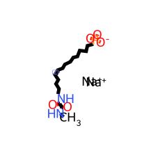 CNC(=O)C(=O)NCCCC/C=C\CCCCCCCCCP(=O)([O-])[O-].[Na+].[Na+]